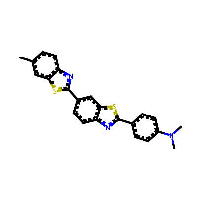 Cc1ccc2nc(-c3ccc4nc(-c5ccc(N(C)C)cc5)sc4c3)sc2c1